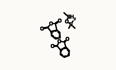 C[SiH2]O[Si](C)(C)C.O=C1OC(=O)c2ccccc21.O=C1OC(=O)c2ccccc21